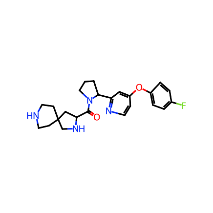 O=C(C1CC2(CCNCC2)CN1)N1CCCC1c1cc(Oc2ccc(F)cc2)ccn1